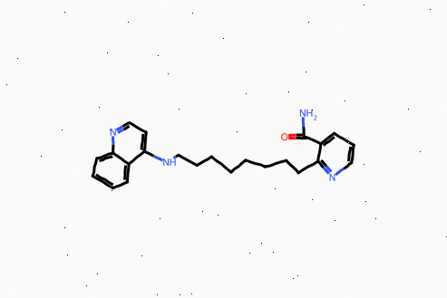 NC(=O)c1cccnc1CCCCCCCCNc1ccnc2ccccc12